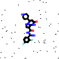 N=C(NC(=O)c1cnn2c(C3CCNCC3)cc(=O)[nH]c12)c1ccc(F)cc1F